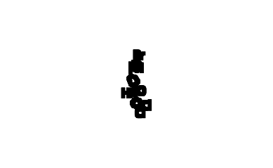 O=C(Nc1ccc(Cl)c(Cl)c1)c1ccc(Cn2cc(Br)cn2)cc1